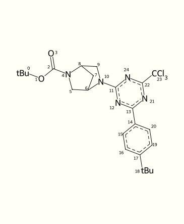 CC(C)(C)OC(=O)N1CC2CC1CN2c1nc(-c2ccc(C(C)(C)C)cc2)nc(C(Cl)(Cl)Cl)n1